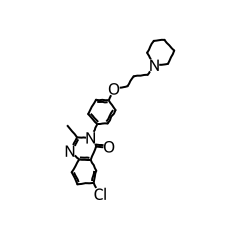 Cc1nc2ccc(Cl)cc2c(=O)n1-c1ccc(OCCCN2CCCCC2)cc1